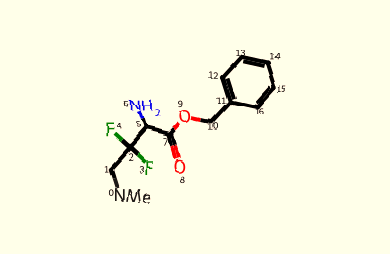 CNCC(F)(F)C(N)C(=O)OCc1ccccc1